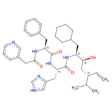 C=C[C@@H](C[C@H](O)[C@H](CC1CCCCC1)NC(=O)[C@H](Cc1c[nH]cn1)NC(=O)[C@H](Cc1ccccc1)NC(=O)Cc1cccnc1)C(C)C